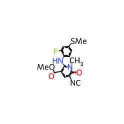 [C-]#[N+]c1cc(C(=O)OC)c(Nc2ccc(SC)cc2F)n(C)c1=O